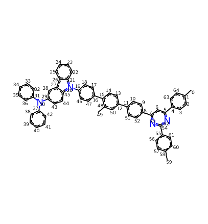 Cc1ccc(-c2cc(-c3ccc(-c4ccc(-c5ccc(-n6c7ccccc7c7cc(N(c8ccccc8)c8ccccc8)ccc76)cc5)c(C)c4)cc3)nc(-c3ccc(C)cc3)n2)cc1